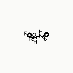 O=S(=O)(NCCNc1nsc2ccccc12)c1ccc(F)cc1F